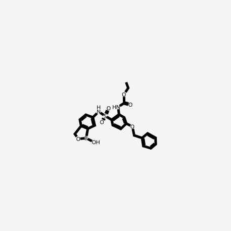 CCOC(=O)Nc1cc(OCc2ccccc2)ccc1S(=O)(=O)Nc1ccc2c(c1)B(O)OC2